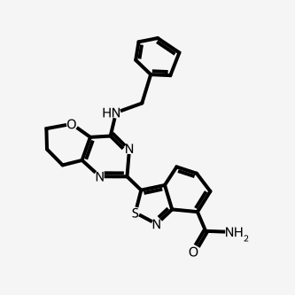 NC(=O)c1cccc2c(-c3nc4c(c(NCc5ccccc5)n3)OCCC4)snc12